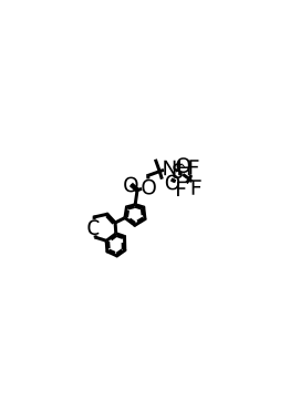 CC(C)(COC(=O)c1cccc(C2=CCCCc3ccccc32)c1)NS(=O)(=O)C(F)(F)F